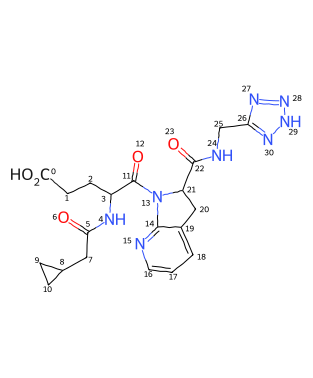 O=C(O)CCC(NC(=O)CC1CC1)C(=O)N1c2ncccc2CC1C(=O)NCc1nn[nH]n1